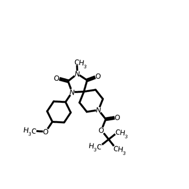 COC1CCC(N2C(=O)N(C)C(=O)C23CCN(C(=O)OC(C)(C)C)CC3)CC1